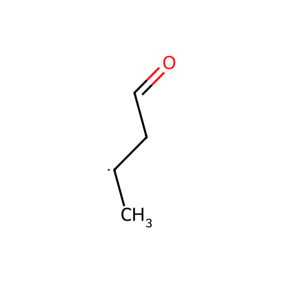 C[CH]CC=O